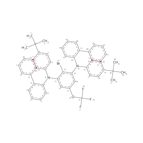 CC(C)(C)c1ccc(N(c2ccccc2-c2ccccc2)c2cc(OC(F)(F)F)cc(N(c3ccc(C(C)(C)C)cc3)c3ccccc3-c3ccccc3)c2Br)cc1